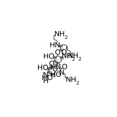 CN[C@@H]1[C@@H](O)[C@@H](O[C@H]2[C@H](NC(=O)N(O)CCN)C[C@H](N)C(O[C@H]3OC(CN)=CC[C@H]3NCCCN)[C@@H]2O)OC[C@]1(C)O